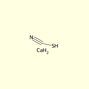 N#CS.[CaH2]